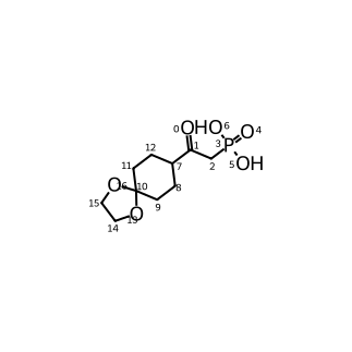 O=C(CP(=O)(O)O)C1CCC2(CC1)OCCO2